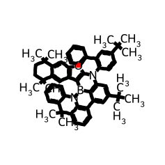 CC(C)(C)c1ccc(N2c3cc(C(C)(C)C)cc4c3B(c3c2oc2cc5c(cc32)C(C)(C)CCC5(C)C)N2c3ccccc3C(C)(C)c3cccc-4c32)c(-c2ccccc2)c1